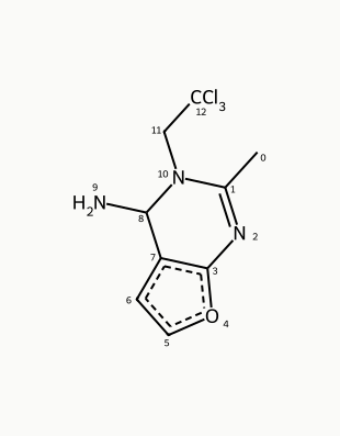 CC1=Nc2occc2C(N)N1CC(Cl)(Cl)Cl